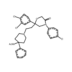 CC(=O)NC1(c2ccccc2)CCN(CCC2(c3ccc(Cl)c(Cl)c3)CN(c3ccc(Cl)cc3)C(=O)CO2)CC1